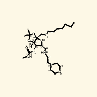 CCCCCCCOC[C@@]12O[C@@H](CNCCN3CCOCC3)[C@@H](OC(=O)NC)[C@@H]1OC(C)(C)O2